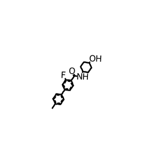 Cc1ccc(-c2ccc(C(=O)N[C@H]3CC[C@H](O)CC3)c(F)c2)cc1